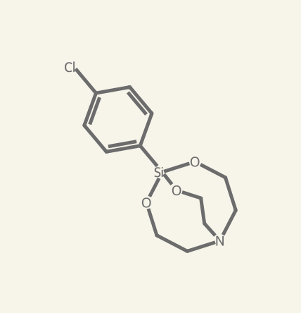 Clc1ccc([Si]23OCCN(CCO2)CCO3)cc1